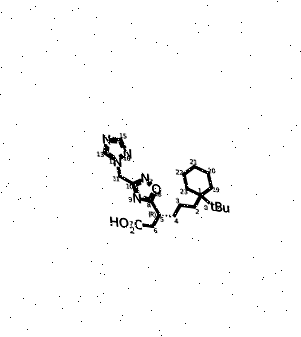 CC(C)(C)C1(CCC[C@H](CC(=O)O)c2nc(Cn3cncn3)no2)CCCCC1